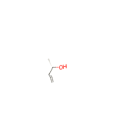 C=C[C@H](C)O